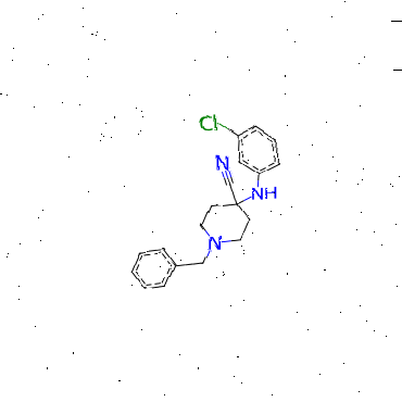 N#CC1(Nc2cccc(Cl)c2)CCN(Cc2ccccc2)CC1